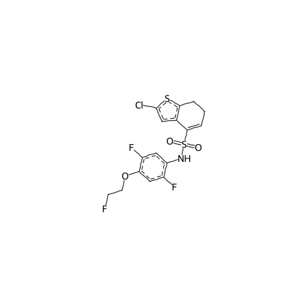 O=S(=O)(Nc1cc(F)c(OCCF)cc1F)C1=CCCc2sc(Cl)cc21